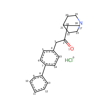 Cl.O=C(Cc1ccc(-c2ccccc2)cc1)C1CN2CCC1CC2